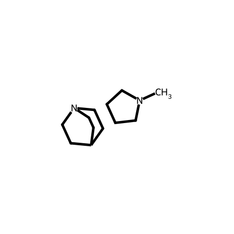 C1CN2CCC1CC2.CN1CCCC1